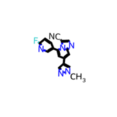 Cn1cc(-c2cc(-c3ccc(F)nc3)n3c(C#N)cnc3c2)cn1